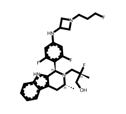 C[C@@H]1Cc2c([nH]c3ccccc23)[C@@H](c2c(F)cc(NC3CN(CCCF)C3)cc2F)N1C[C@](C)(F)CO